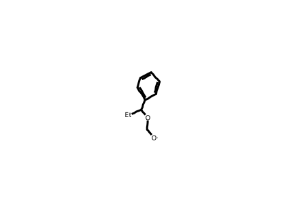 CCC(OC[O])c1ccccc1